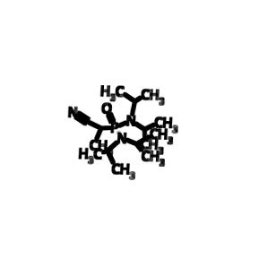 CC(C)N(C(C)C)P(=O)(C(C)C#N)N(C(C)C)C(C)C